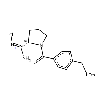 CCCCCCCCCCCc1ccc(C(=O)N2CCC[C@H]2/C(N)=N\Cl)cc1